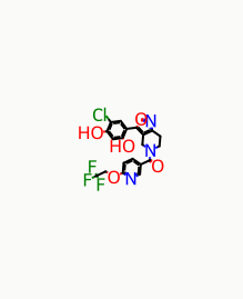 O=C(c1ccc(OCC(F)(F)F)nc1)N1CCc2noc(-c3cc(Cl)c(O)cc3O)c2C1